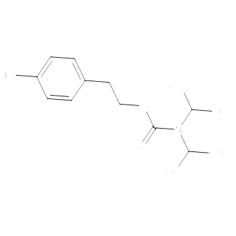 CC(C)N(C(=O)OCCc1ccc(Br)cc1)C(C)C